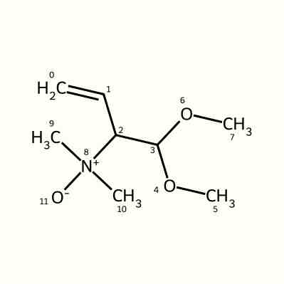 C=CC(C(OC)OC)[N+](C)(C)[O-]